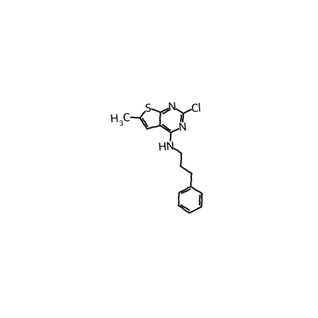 Cc1cc2c(NCCCc3ccccc3)nc(Cl)nc2s1